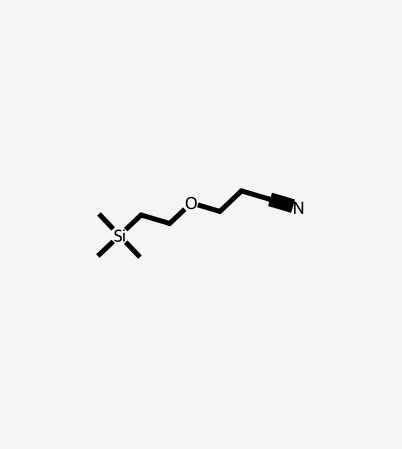 C[Si](C)(C)CCOCCC#N